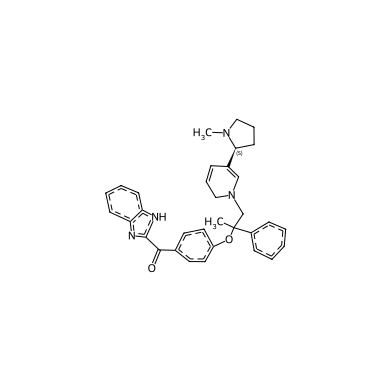 CN1CCC[C@H]1C1=CN(CC(C)(Oc2ccc(C(=O)c3nc4ccccc4[nH]3)cc2)c2ccccc2)CC=C1